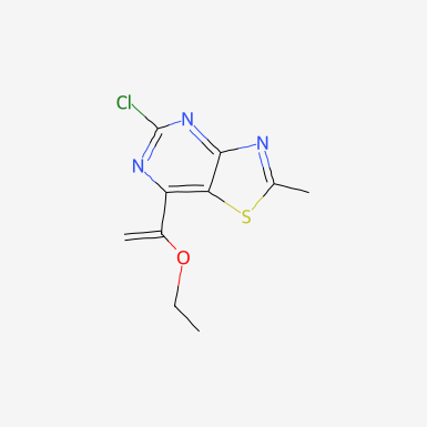 C=C(OCC)c1nc(Cl)nc2nc(C)sc12